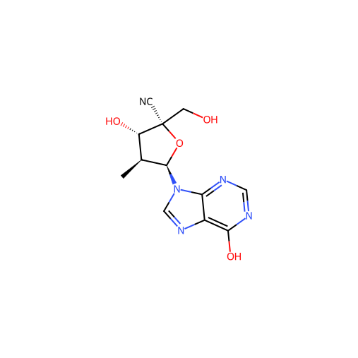 C[C@@H]1[C@H](n2cnc3c(O)ncnc32)O[C@](C#N)(CO)[C@H]1O